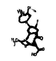 CC1CN(c2cc3c(cc2F)c(=O)c(C(=O)O)c2n3C(C)S2)CCN1